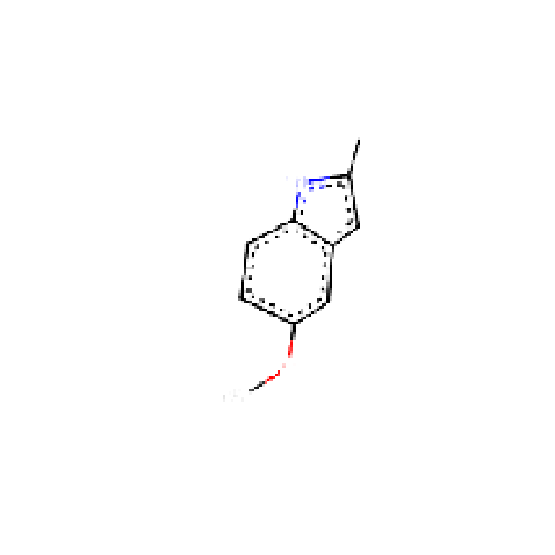 CCCOc1ccc2[nH]c(C)cc2c1